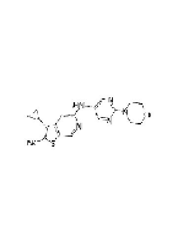 N#Cc1sc2cnc(Nc3cnc(N4CCOCC4)nc3)cc2c1C1CC1